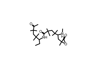 CCC(NC(=O)C(C)(C)CC(C)(C)C(CC1(C)OC1=O)NC)C(C)(C)CC(C)(C)C(C)=O